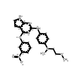 COCCN(C)c1ccc(Nc2nc(Oc3cccc([N+](=O)[O-])c3)c3cc[nH]c3n2)cc1